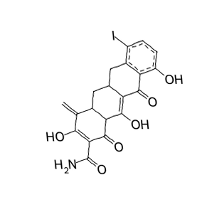 C=C1C(O)=C(C(N)=O)C(=O)C2C(O)=C3C(=O)c4c(O)ccc(I)c4CC3CC12